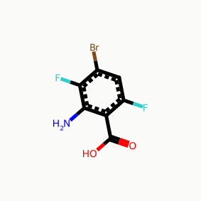 Nc1c(F)c(Br)cc(F)c1C(=O)O